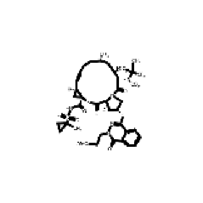 COCCn1nc(O[C@@H]2C[C@H]3C(=O)N[C@]4(C(=O)NS(=O)(=O)C5(C)CC5)C[C@H]4C=CCC[C@H](C)C[C@@H](C)[C@H](N(C(=O)O)C(C)(C)C(F)(F)F)C(=O)N3C2)c2ccccc2c1=O